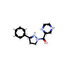 O=C(c1cnccn1)N1CCC(c2ccccc2)=N1